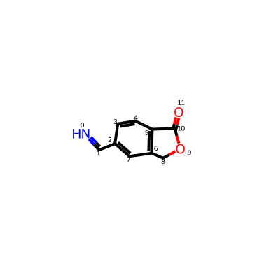 N=Cc1ccc2c(c1)COC2=O